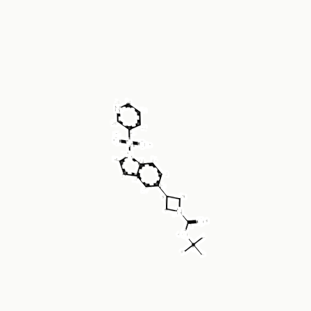 CC(C)(C)OC(=O)N1CC(c2ccc3c(ccn3S(=O)(=O)c3cccnc3)c2)C1